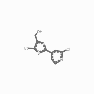 CCc1sc(-c2ccnc(Cl)c2)nc1CO